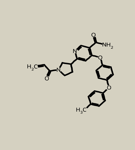 C=CC(=O)N1CCC(c2cc(Oc3ccc(Oc4ccc(C)cc4)cc3)c(C(N)=O)cn2)C1